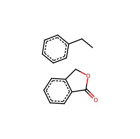 CCc1ccccc1.O=C1OCc2ccccc21